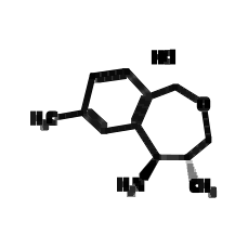 Cc1ccc2c(c1)[C@H](N)[C@@H](C)COC2.Cl